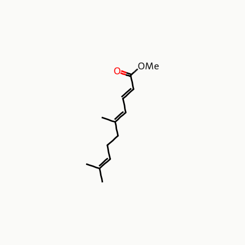 COC(=O)/C=C/C=C(\C)CCC=C(C)C